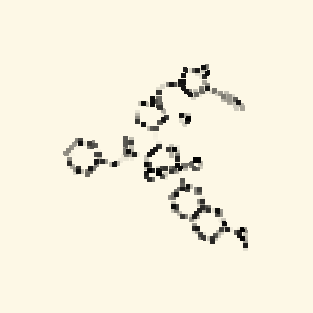 COc1ccc2ccc(S(=O)(=O)NC(C(=O)NCc3ccccc3)[C@@H]3CCN(Cc4csc(C#N)c4)C3=O)cc2c1